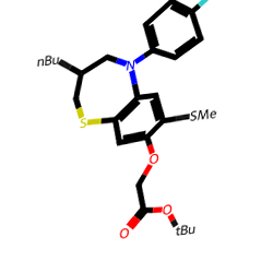 CCCCC1CSc2cc(OCC(=O)OC(C)(C)C)c(SC)cc2N(c2ccc(F)cc2)C1